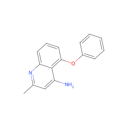 Cc1cc(N)c2c(Oc3ccccc3)cccc2n1